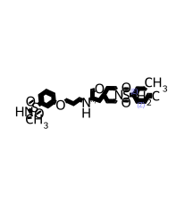 C=C/C=C\C(=C/CC)S(=O)(=O)N1CCC2(CC1)C[C@@H](NCCCOc1cccc(S(=O)(=O)NC)c1)CO2